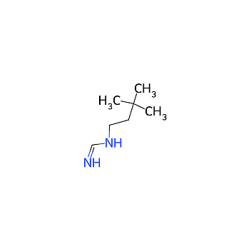 CC(C)(C)CCNC=N